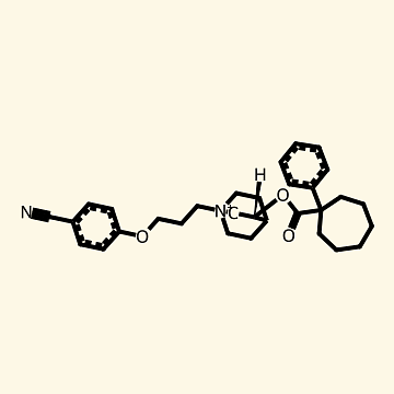 N#Cc1ccc(OCCC[N+]23CCC(CC2)[C@@H](OC(=O)C2(c4ccccc4)CCCCCC2)C3)cc1